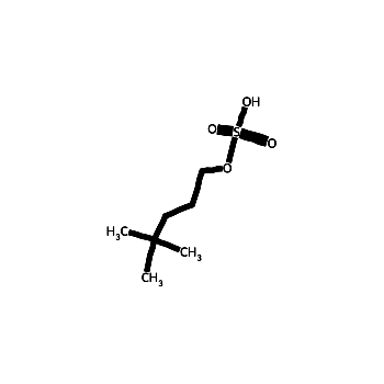 CC(C)(C)CCCOS(=O)(=O)O